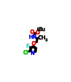 CC(COc1ccnc(Cl)c1F)NC(=O)OC(C)(C)C